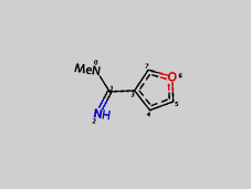 CNC(=N)c1ccoc1